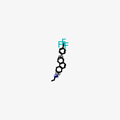 CC/C=C/[C@H]1CCc2c(ccc3c2CC[C@H](c2ccc(C(F)(F)F)cc2)C3)C1